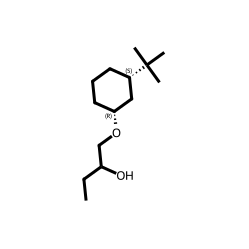 CCC(O)CO[C@@H]1CCC[C@H](C(C)(C)C)C1